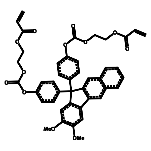 C=CC(=O)OCCOC(=O)Oc1ccc(C2(c3ccc(OC(=O)OCCOC(=O)C=C)cc3)c3cc(OC)c(OC)cc3-c3cc4ccccc4cc32)cc1